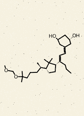 CCC/C(=C\C=C1C[C@@H](O)C[C@H](O)C1)[C@@H]1CC[C@H]([C@H](C)CCCC(C)(C)OCOC)C1(C)C